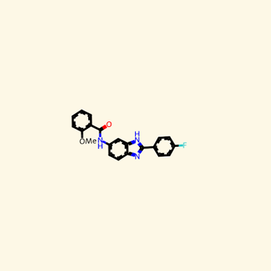 COc1ccccc1C(=O)Nc1ccc2nc(-c3ccc(F)cc3)[nH]c2c1